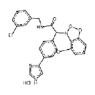 Cl.O=C(NCc1cccc(Cl)c1)C(c1ccc(-c2c[nH]cn2)cc1)N1OOc2cccc(Cl)c21